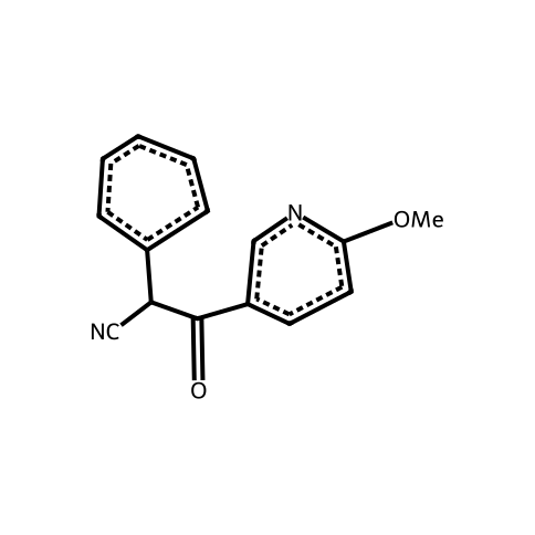 COc1ccc(C(=O)C(C#N)c2ccccc2)cn1